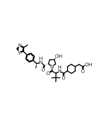 Cc1ncsc1-c1ccc([C@H](C)NC(=O)[C@@H]2C[C@@H](O)CN2C(=O)C(NC(=O)C2CCC(CC(=O)O)CC2)C(C)(C)C)cc1